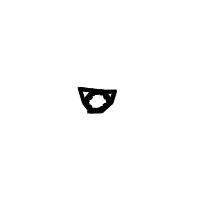 [c]1cc2c(c3c1C3)C2